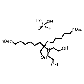 CCCCCCCCCCCCCCCCC(CO)(CCCCCCCCCCCCCCCC)N(CCO)CCO.O=P(O)(O)O